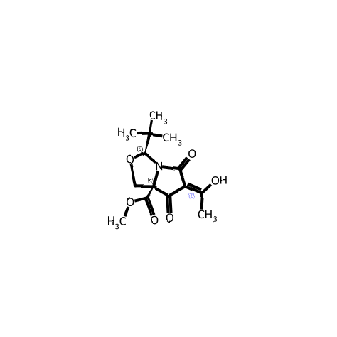 COC(=O)[C@@]12CO[C@@H](C(C)(C)C)N1C(=O)/C(=C(/C)O)C2=O